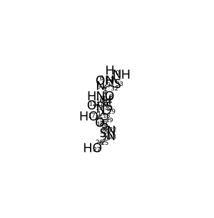 N=c1[nH]c(C(=NO)C(=O)NC2C(=O)N3C(C(=O)O)=C(CSc4nnc(CCO)s4)CS[C@@H]23)cs1